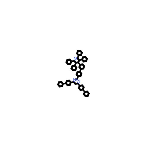 c1ccc(-c2ccc(-c3cc(-c4ccc(-c5ccccc5)cc4)nc(-c4ccc(-c5cccc(-c6c(-c7ccccc7)c(-c7ccccc7)nc(-c7ccccc7)c6-c6ccccc6)c5)cc4)n3)cc2)cc1